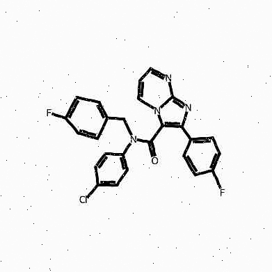 O=C(c1c(-c2ccc(F)cc2)nc2ncccn12)N(Cc1ccc(F)cc1)c1ccc(Cl)cc1